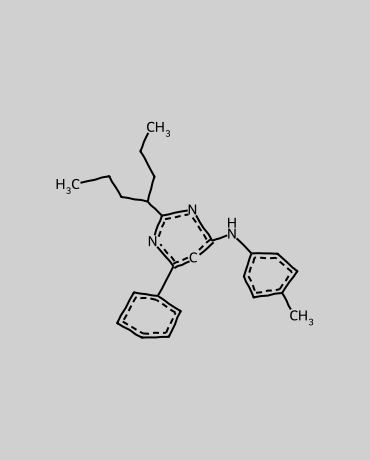 CCCC(CCC)c1nc(Nc2ccc(C)cc2)cc(-c2ccccc2)n1